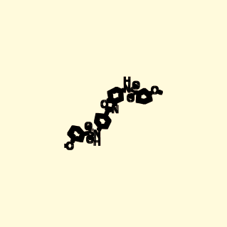 COc1cccc(S(=O)(=O)Nc2ccc(-c3nc4cc(NS(=O)(=O)c5cccc(OC)c5)ccc4o3)cc2)c1